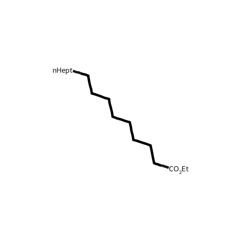 CCCCCCCCCCCCCCCC(=O)OCC